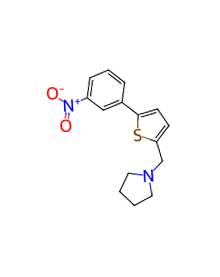 O=[N+]([O-])c1cccc(-c2ccc(CN3CCCC3)s2)c1